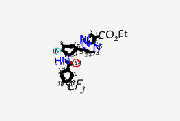 CCOC(=O)c1cnn2c(-c3ccc(F)c(NC(=O)c4cccc(C(F)(F)F)c4)c3)ccnc12